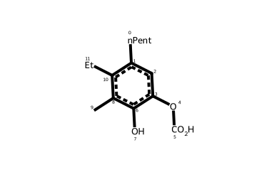 CCCCCc1cc(OC(=O)O)c(O)c(C)c1CC